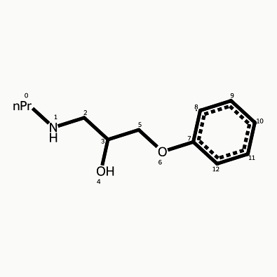 CCCNCC(O)COc1[c]cccc1